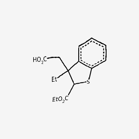 CCOC(=O)C1Sc2ccccc2C1(CC)CC(=O)O